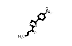 CC=CC(=O)c1nc(-c2ccc([N+](=O)[O-])cc2)cs1